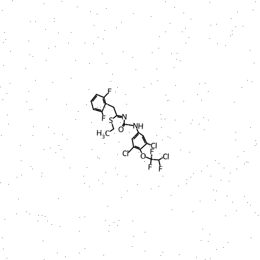 CCSC(Cc1c(F)cccc1F)=NC(=O)Nc1cc(Cl)c(OC(F)(F)C(F)Cl)c(Cl)c1